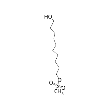 CS(=O)(=O)OCCCCCCCCCCO